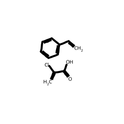 C=C(Cl)C(=O)O.C=Cc1ccccc1